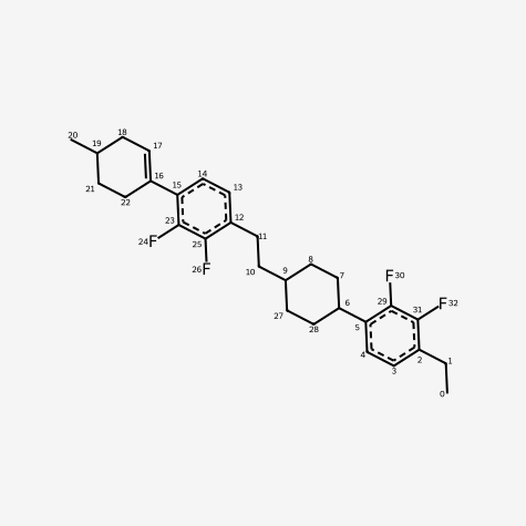 CCc1ccc(C2CCC(CCc3ccc(C4=CCC(C)CC4)c(F)c3F)CC2)c(F)c1F